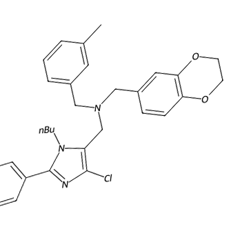 CCCCn1c(-c2ccccc2)nc(Cl)c1CN(Cc1cccc(C)c1)Cc1ccc2c(c1)OCCO2